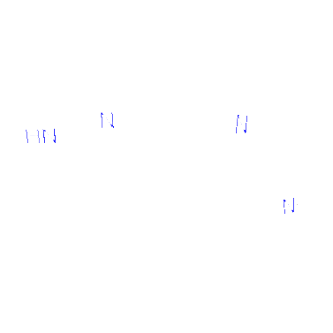 C1=NC(c2cc[nH]n2)=C[N]1